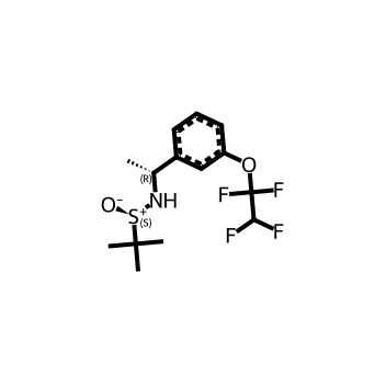 C[C@@H](N[S@+]([O-])C(C)(C)C)c1cccc(OC(F)(F)C(F)F)c1